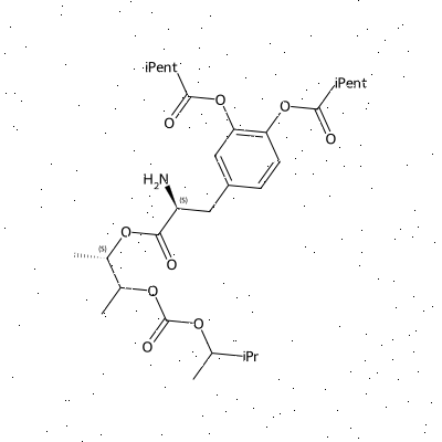 CCCC(C)C(=O)Oc1ccc(C[C@H](N)C(=O)O[C@@H](C)C(C)OC(=O)OC(C)C(C)C)cc1OC(=O)C(C)CCC